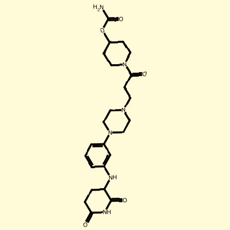 NC(=O)OC1CCN(C(=O)CCN2CCN(c3cccc(NC4CCC(=O)NC4=O)c3)CC2)CC1